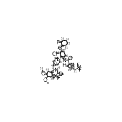 COc1ccc(CN(C[C@H]2CN(c3c(NC(=O)c4ccn(CC(F)F)n4)ccc(Oc4ccccc4F)c3Cl)CCN2C)C(=O)C(F)(F)F)cc1OC